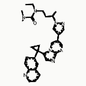 CCN(CCC(C)n1cc(-c2cnc3ncc(C4(c5ccc6ncccc6c5)CC4)n3c2)cn1)C(=O)N(C)C